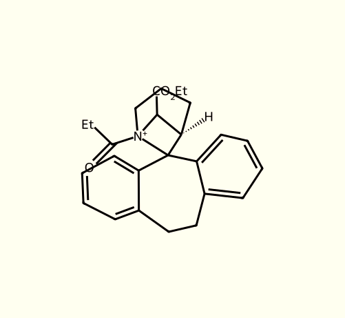 CCOC(=O)C1[C@H]2CCC[N+]1(C(=O)CC)C21c2ccccc2CCc2ccccc21